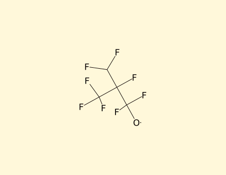 [O]C(F)(F)C(F)(C(F)F)C(F)(F)F